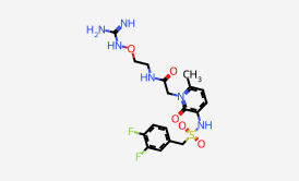 Cc1ccc(NS(=O)(=O)Cc2ccc(F)c(F)c2)c(=O)n1CC(=O)NCCONC(=N)N